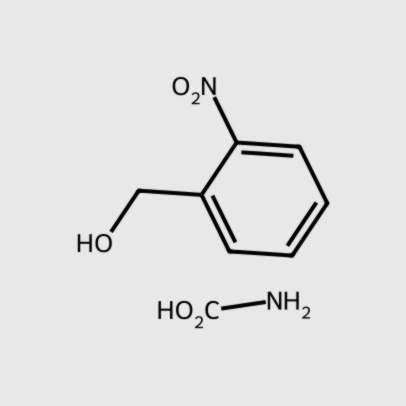 NC(=O)O.O=[N+]([O-])c1ccccc1CO